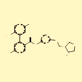 COc1cnc(Cl)cc1-c1cc(C)ncc1C(=O)Nc1nnc(OC[C@H]2COC[C@H]2C)s1